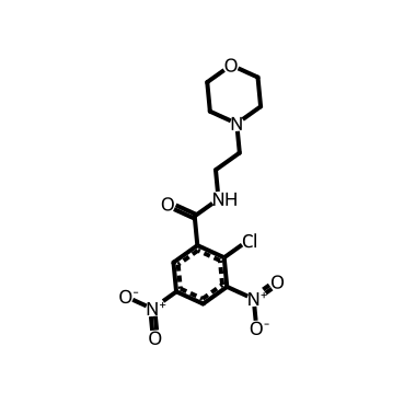 O=C(NCCN1CCOCC1)c1cc([N+](=O)[O-])cc([N+](=O)[O-])c1Cl